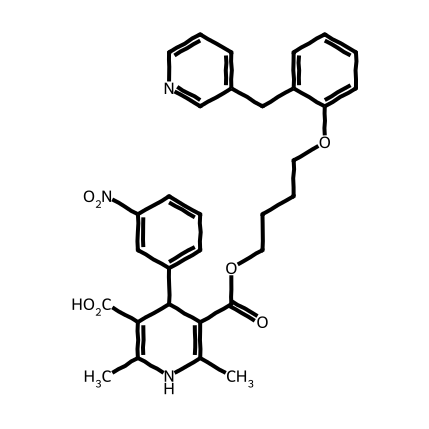 CC1=C(C(=O)O)C(c2cccc([N+](=O)[O-])c2)C(C(=O)OCCCCOc2ccccc2Cc2cccnc2)=C(C)N1